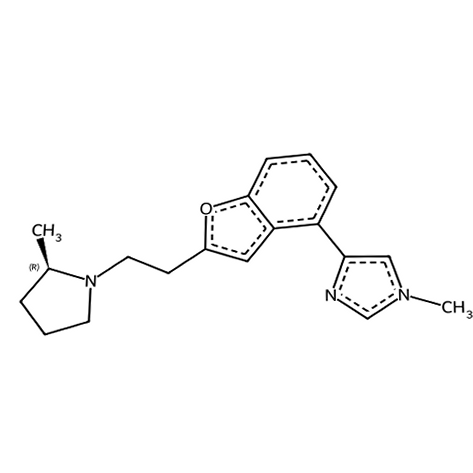 C[C@@H]1CCCN1CCc1cc2c(-c3cn(C)cn3)cccc2o1